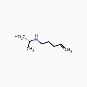 C=CCCCN[C@H](C)C(=O)O